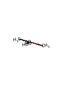 CCCCCCCCCCCCCCCC(=O)O[C@H](CCCCCCCCCCC)CC(=O)O